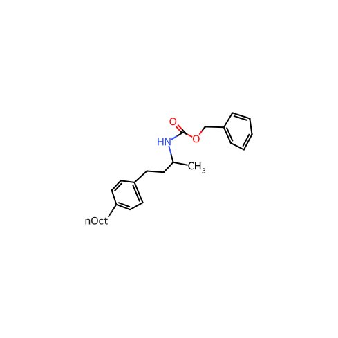 CCCCCCCCc1ccc(CCC(C)NC(=O)OCc2ccccc2)cc1